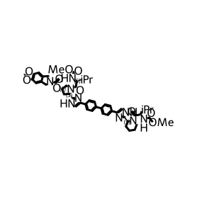 COC(=O)NC(C(=O)N1CCCC[C@H]1c1nc(-c2ccc(-c3ccc(-c4c[nH]c([C@@H]5C[C@H](OC(=O)N6Cc7cc8c(cc7C6)OCO8)CN5C(=O)[C@@H](NC(=O)OC)C(C)C)n4)cc3)cc2)c[nH]1)C(C)C